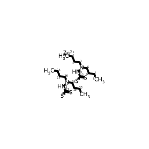 CCCCN(CCCC)NC(=S)[S-].CCCCN(CCCC)NC(=S)[S-].[Zn+2]